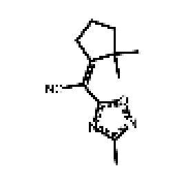 Cc1noc(/C(C#N)=C2/CCCC2(C)C)n1